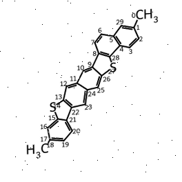 Cc1ccc2c(ccc3c4cc5cc6sc7cc(C)ccc7c6cc5cc4sc23)c1